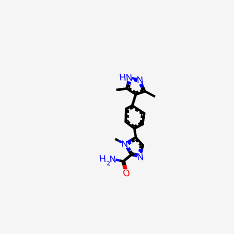 Cc1n[nH]c(C)c1-c1ccc(-c2cnc(C(N)=O)n2C)cc1